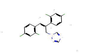 Clc1ccc(C=C(Cn2cncn2)c2ccc(Cl)cc2Cl)c(Cl)c1